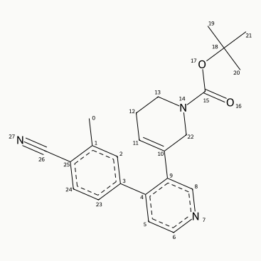 Cc1cc(-c2ccncc2C2=CCCN(C(=O)OC(C)(C)C)C2)ccc1C#N